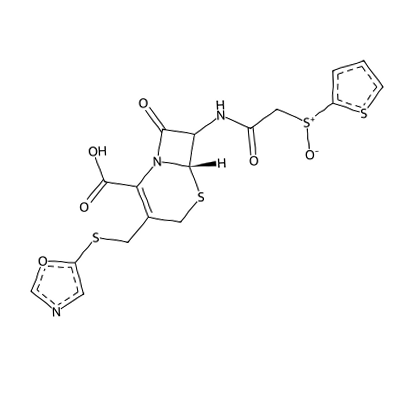 O=C(C[S+]([O-])c1cccs1)NC1C(=O)N2C(C(=O)O)=C(CSc3cnco3)CS[C@@H]12